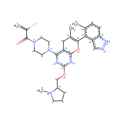 C=C(F)C(=O)N1CCN(c2nc(OCC3CCCN3C)nc3c2CC(C)=C(c2c(C)ccc4[nH]ncc24)O3)CC1